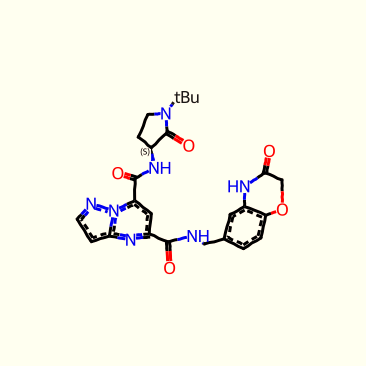 CC(C)(C)N1CC[C@H](NC(=O)c2cc(C(=O)NCc3ccc4c(c3)NC(=O)CO4)nc3ccnn23)C1=O